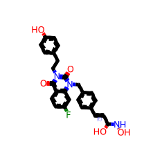 O=c1c2ccc(F)cc2n(Cc2ccc(/C=C/C(O)NO)cc2)c(=O)n1CCc1ccc(O)cc1